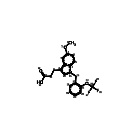 COc1ccc2c(c1)c(CCC(=O)O)cn2Cc1ccccc1OC(F)(F)F